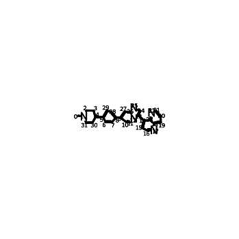 CN1CCC(c2ccc(-c3ccn4c(-c5ccnc6cccnc56)cnc4c3)cc2)CC1